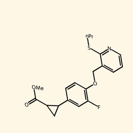 CCCSc1ncccc1COc1ccc(C2CC2C(=O)OC)cc1F